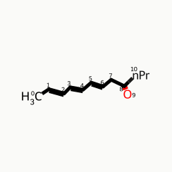 CC=CC=CC=CCC(=O)CCC